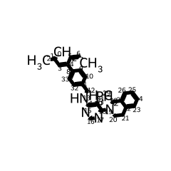 C=C(C)/C=C(\C=C/C)c1ccc(CNc2ncnc(N3CCc4ccccc4C3C)c2P)cc1